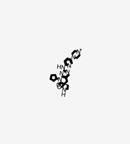 CN1CCN(c2ccc(Nc3ncc4c(n3)N(C3CCCC3)C(=O)[C@]3(CCNC3=O)C4)nc2)CC1